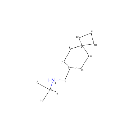 CC(C)(C)NCC1CCC2(CCC2)CC1